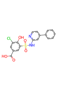 O=C(O)c1cc(Cl)c(O)c(S(=O)(=O)Nc2cc(-c3ccccc3)ccn2)c1